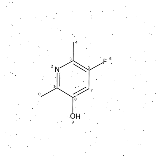 Cc1nc(C)c(F)cc1O